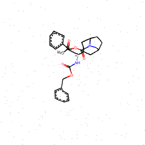 COC(=O)[C@@H](NC(=O)OCc1ccccc1)C1CC2CCC(C1)N2C(=O)OCc1ccccc1